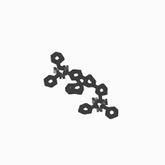 c1ccc(-c2nc(-c3ccccc3)nc(-c3cccc(-c4ccc5c(c4)C4(c6cc(-c7nc(-c8ccccc8)nc(-c8ccccc8)n7)ccc6-5)C5CC6CC(C5)CC4C6)c3)n2)cc1